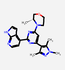 Cc1nn(C)c(C)c1-c1cc(N2CCOC[C@H]2C)nc(-c2ccnc3[nH]ccc23)n1